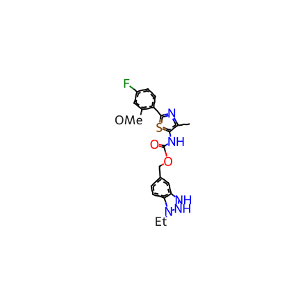 CCN1NNc2cc(COC(=O)Nc3sc(-c4ccc(F)cc4OC)nc3C)ccc21